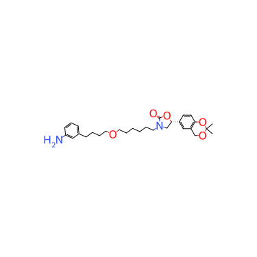 CC1(C)OCc2cc([C@@H]3CN(CCCCCCOCCCCc4cccc(N)c4)C(=O)O3)ccc2O1